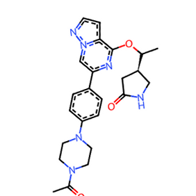 CC(=O)N1CCN(c2ccc(-c3cn4nccc4c(OC(C)[C@H]4CNC(=O)C4)n3)cc2)CC1